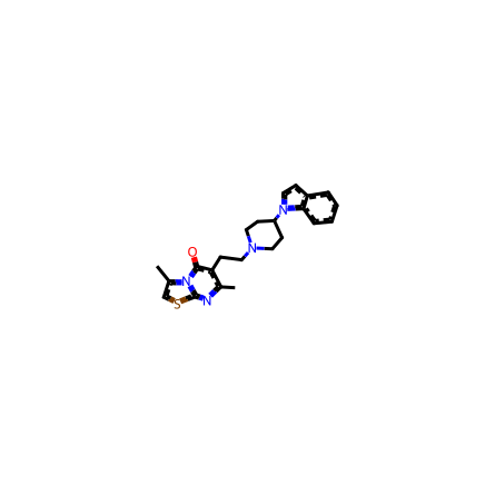 Cc1nc2scc(C)n2c(=O)c1CCN1CCC(n2ccc3ccccc32)CC1